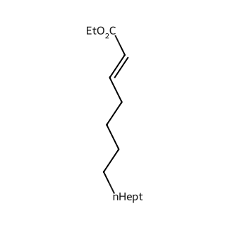 CCCCCCCCCCC/C=C/C(=O)OCC